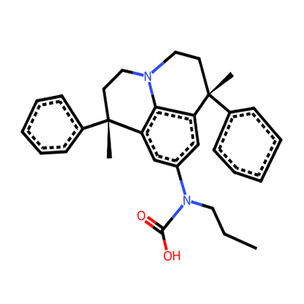 CCCN(C(=O)O)c1cc2c3c(c1)[C@@](C)(c1ccccc1)CCN3CC[C@@]2(C)c1ccccc1